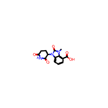 Cn1c(=O)n(C2CCC(=O)NC2=O)c2cccc(C(=O)O)c21